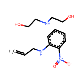 C=CCNc1ccccc1[N+](=O)[O-].OCCNCCO